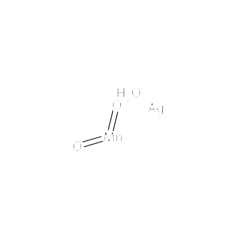 O.[Ag].[O]=[Mn]=[O]